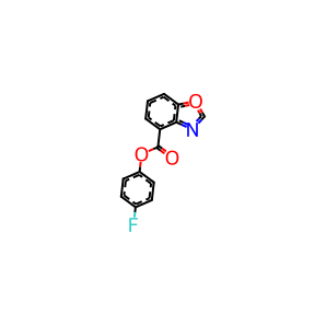 O=C(Oc1ccc(F)cc1)c1cccc2ocnc12